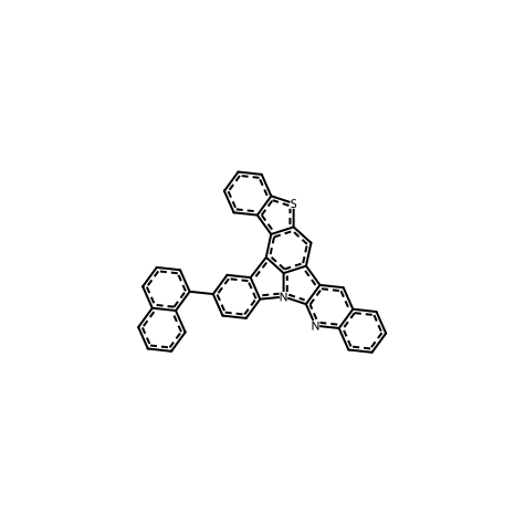 c1ccc2nc3c(cc2c1)c1cc2sc4ccccc4c2c2c4cc(-c5cccc6ccccc56)ccc4n3c12